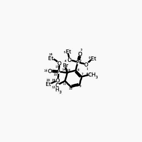 CCOP(=O)(OCC)C1=C(C)C=CC(C)C1(Br)P(=O)(OCC)OCC